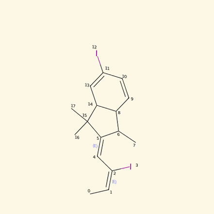 C/C=C(I)\C=C1/C(C)C2C=CC(I)=CC2C1(C)C